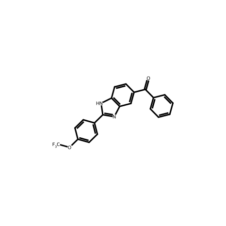 O=C(c1ccccc1)c1ccc2[nH]c(-c3ccc(OC(F)(F)F)cc3)nc2c1